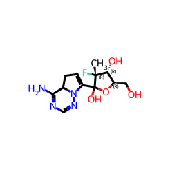 C[C@@]1(F)[C@H](O)[C@@H](CO)OC1(O)C1=CCC2C(N)=NC=NN12